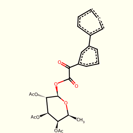 CC(=O)O[C@H]1[C@H](OC(C)=O)[C@@H](OC(=O)C(=O)c2cccc(-c3ccccc3)c2)O[C@@H](C)[C@H]1OC(C)=O